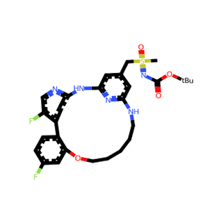 CC(C)(C)OC(=O)N=S(C)(=O)Cc1cc2nc(c1)Nc1cc(c(F)cn1)-c1ccc(F)cc1OCCCCCN2